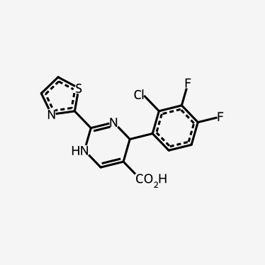 O=C(O)C1=CNC(c2nccs2)=NC1c1ccc(F)c(F)c1Cl